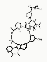 CCn1c(-c2cccnc2C(C)C)c2c3cc(ccc31)-c1cc(O)cc(c1)C[C@H](NC(=O)[C@H](C(C)C)N(C)C(=O)[C@H]1CCN(C(=O)[C@H]3CN3)C1)C(=O)N1CCC[C@H](N1)C(=O)OCC(C)(C)C2